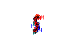 O=C(Cn1cc(Nc2ncnc3cc(OCCCN4CCC[C@@H]4COP(=O)(O)O)c(F)cc23)cn1)Nc1cccc(F)c1F